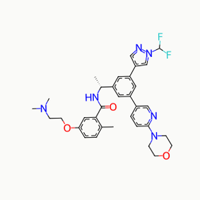 Cc1ccc(OCCN(C)C)cc1C(=O)N[C@H](C)c1cc(-c2ccc(N3CCOCC3)nc2)cc(-c2cnn(C(F)F)c2)c1